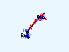 CCC(CC)c1cc(N[C@H]2CC[C@H](NCCOCCOCCOCCOCCNc3cccc4c3C(=O)N(C3CCC(=O)NC3=O)C4=O)C2)n2nccc2n1